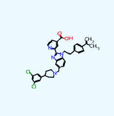 C=C(C)c1ccc(CCn2c(-c3cc(C(=O)O)ccn3)nc3cc(CN4CCC(c5cc(Cl)cc(Cl)c5)CC4)ccc32)cc1